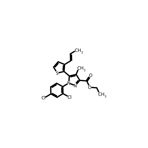 CC=Cc1ccsc1-c1c(C)c(C(=O)OCC)nn1-c1ccc(Cl)cc1Cl